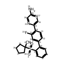 N#CC1(S(=O)(=O)c2ccccc2-c2ccc(-c3cnc(N)cn3)c(F)c2)CCCC1